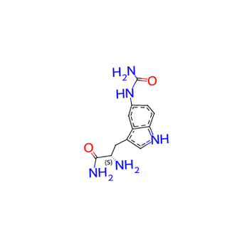 NC(=O)Nc1ccc2[nH]cc(C[C@H](N)C(N)=O)c2c1